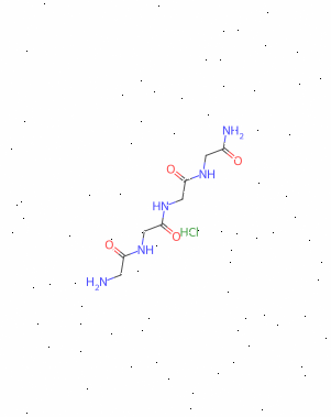 Cl.NCC(=O)NCC(=O)NCC(=O)NCC(N)=O